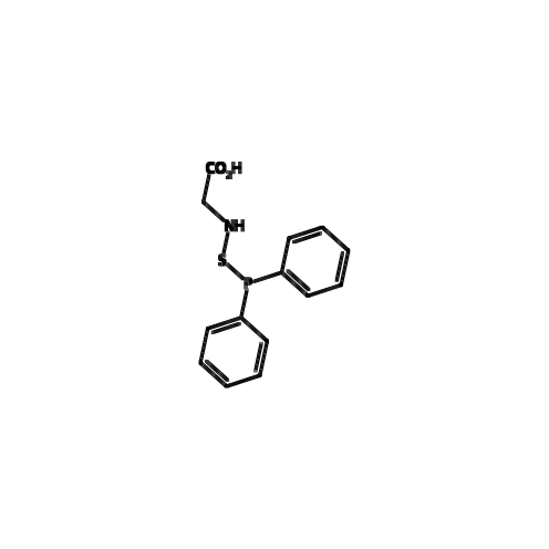 O=C(O)CNSP(c1ccccc1)c1ccccc1